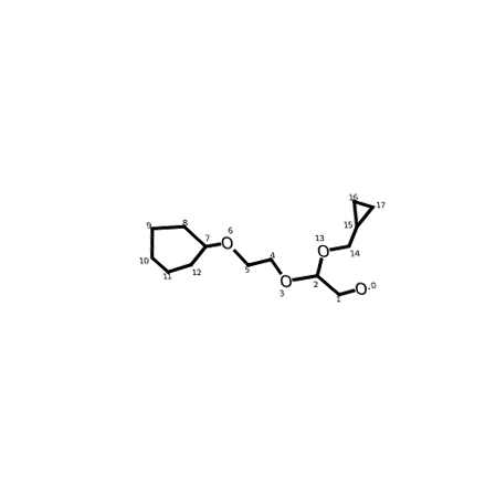 [O]CC(OCCOC1CCCCC1)OCC1CC1